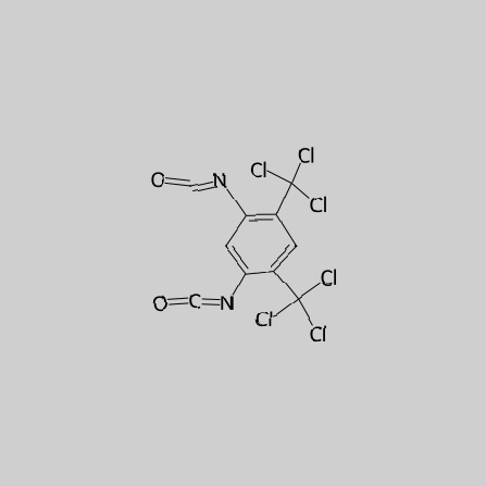 O=C=Nc1cc(N=C=O)c(C(Cl)(Cl)Cl)cc1C(Cl)(Cl)Cl